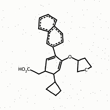 O=C(O)CC1C=C(c2ccc3ccccc3c2)C(OC2CCCC2)=CC1C1CCC1